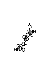 Cc1cc(N2C(=O)CNC2=O)c(C)cc1C=CS(=O)(=O)N1CCC2(CC1)N=C(C1CCC(C)CC1)NC2=O